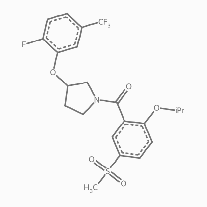 CC(C)Oc1ccc(S(C)(=O)=O)cc1C(=O)N1CCC(Oc2cc(C(F)(F)F)ccc2F)C1